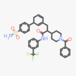 NS(=O)(=O)c1ccc(C2C=C(CC(C(=O)Nc3cccc(C(F)(F)F)c3)C3CCN(C(=O)c4ccccc4)CC3)C=CC2)cc1